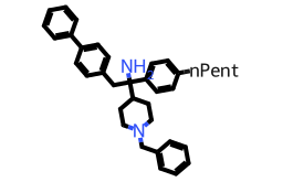 CCCCCc1ccc(C(N)(Cc2ccc(-c3ccccc3)cc2)C2CCN(Cc3ccccc3)CC2)cc1